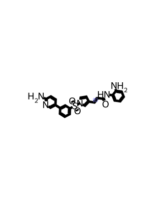 Nc1ccc(-c2cccc(S(=O)(=O)n3ccc(/C=C/C(=O)Nc4ccccc4N)c3)c2)cn1